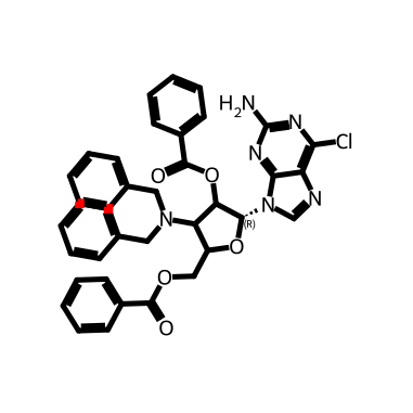 Nc1nc(Cl)c2ncn([C@@H]3OC(COC(=O)c4ccccc4)C(N(Cc4ccccc4)Cc4ccccc4)C3OC(=O)c3ccccc3)c2n1